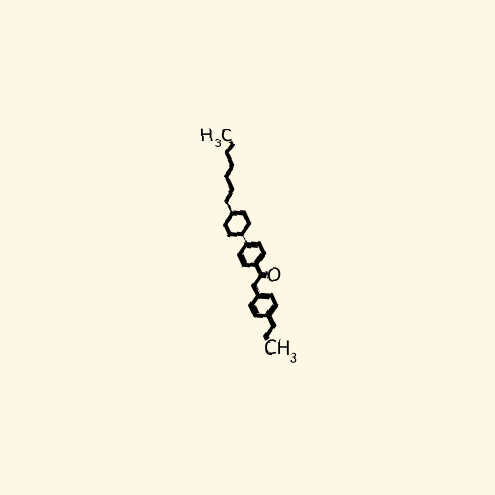 CCCCCCC[C@H]1CC[C@H](c2ccc(C(=O)Cc3ccc(CCC)cc3)cc2)CC1